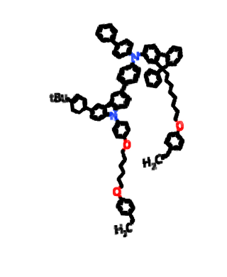 C=Cc1ccc(OCCCCCCCCC2(c3ccccc3)c3ccccc3-c3ccc(N(c4ccc(-c5ccccc5)cc4)c4ccc(-c5ccc6c(c5)c5cc(C7=CC=C(C(C)(C)C)CC7)ccc5n6-c5ccc(OCCCCCCOc6ccc(C=C)cc6)cc5)cc4)cc32)cc1